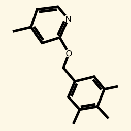 Cc1ccnc(OCc2cc(C)c(C)c(C)c2)c1